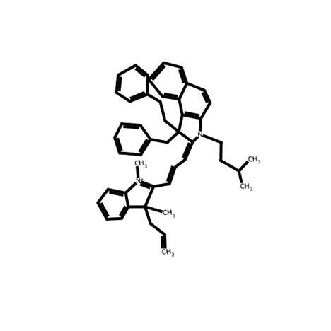 C=CCC1(C)C(/C=C/C=C2/N(CCC(C)C)c3ccc4ccccc4c3C2(CCc2ccccc2)Cc2ccccc2)=[N+](C)c2ccccc21